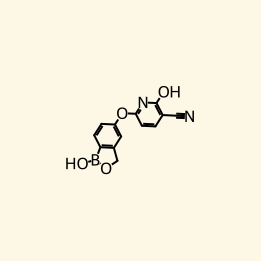 N#Cc1ccc(Oc2ccc3c(c2)COB3O)nc1O